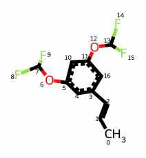 C[C]=Cc1cc(OC(F)F)cc(OC(F)F)c1